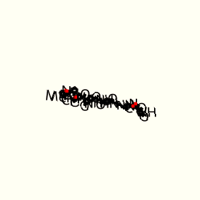 CNC(=O)C1(Oc2ccccc2-c2nc3cccc(Cl)c3s2)CCN(C(=O)[C@H]2CC(=O)Nc3cc(OCNC(=O)C4CCC(C(=O)NCCNCC5CCN(c6cc(C7CCC(=O)NC7=O)ccn6)CC5)CC4)ccc32)CC1